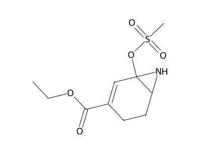 CCOC(=O)C1=CC2(OS(C)(=O)=O)NC2CC1